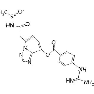 C[S+]([O-])NC(=O)Cc1ccc(OC(=O)c2ccc(NC(=N)N)cc2)c2ncnn12